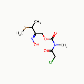 CSC(C)C(COC(=O)N(C)C(=O)CCl)=NO